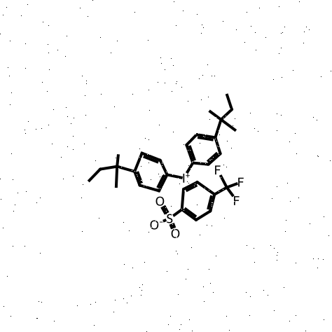 CCC(C)(C)c1ccc([I+]c2ccc(C(C)(C)CC)cc2)cc1.O=S(=O)([O-])c1ccc(C(F)(F)F)cc1